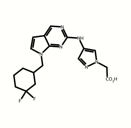 O=C(O)Cn1cc(Nc2ncc3ccn(CC4CCCC(F)(F)C4)c3n2)cn1